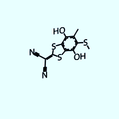 CSc1c(C)c(O)c2c(c1O)SC(=C(C#N)C#N)S2